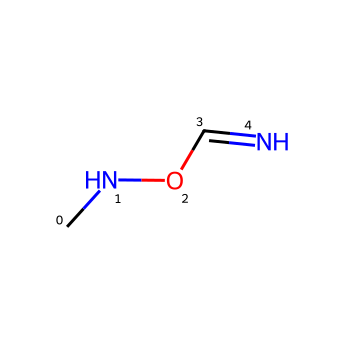 CNOC=N